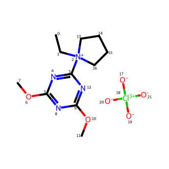 CC[N+]1(c2nc(OC)nc(OC)n2)CCCC1.[O-][Cl+3]([O-])([O-])[O-]